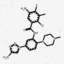 Cc1c(F)c(N)cc(C(=O)Nc2cc(-n3cc(N)nn3)ccc2N2CCN(C)CC2)c1Cl